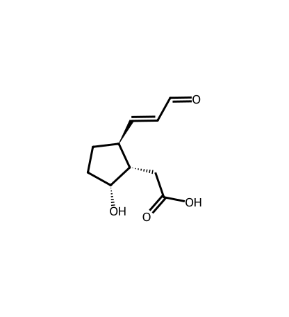 O=CC=C[C@@H]1CC[C@@H](O)[C@H]1CC(=O)O